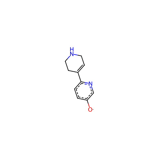 [O]c1ccc(C2=CCNCC2)nc1